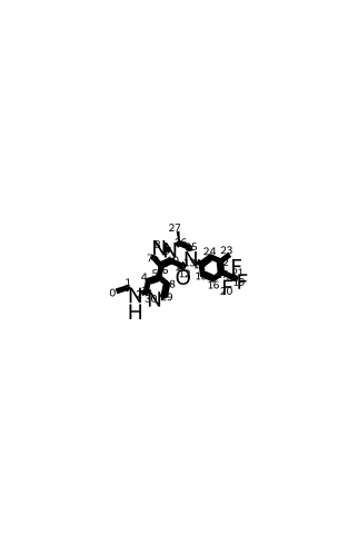 CCNc1cc(-c2cnn3c2C(=O)N(c2ccc(C(F)(F)F)c(C)c2)C[C@@H]3C)ccn1